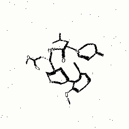 COC(=O)C[C@H](NC(=O)C(CC(C)C)N1C=CC(C)=CC1)c1cncc(-c2c(C)cccc2OC)c1